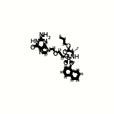 CCCOC(=O)[C@H](C)NP(=O)(OCCOCn1cnc2c(=O)[nH]c(N)nc21)Oc1cccc2ccccc12